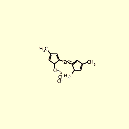 CC1=CC(C)[C]([Zr+2][C]2=CC(C)=CC2C)=C1.[Cl-].[Cl-]